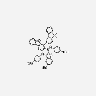 CC(C)(C)c1ccc(N2B3c4sc5ccc(C(C)(C)C)cc5c4N(c4ccc(C(C)(C)C)cc4)c4cc5c(oc6ccccc65)c(c43)-c3cc4c(cc32)C(C)(C)c2ccccc2-4)cc1